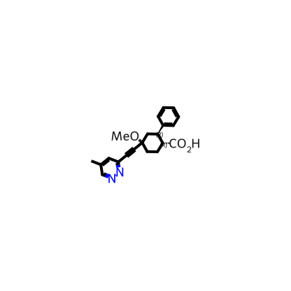 COC1(C#Cc2cc(C)cnn2)CC[C@@H](C(=O)O)[C@H](c2ccccc2)C1